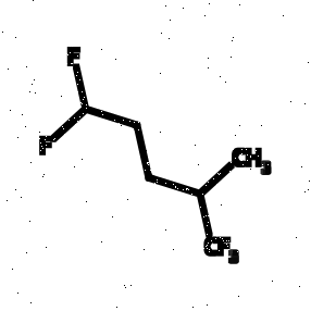 CC(CCC(F)F)C(F)(F)F